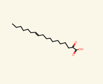 CCCCCC/C=C/CCCCCCCCC(=O)C(=O)O